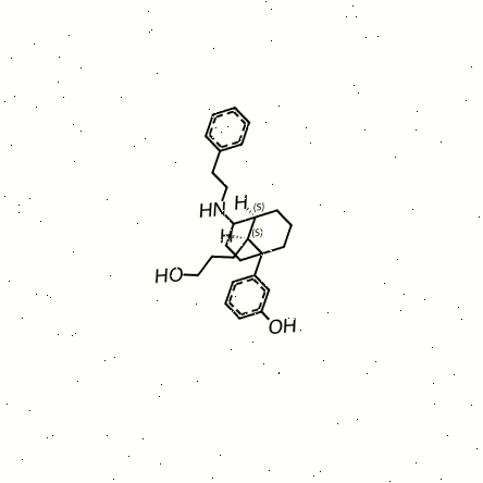 OCCC[C@H]1[C@@H]2CCCC1(c1cccc(O)c1)CCC2NCCc1ccccc1